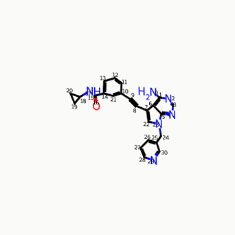 Nc1ncnc2c1c(C#Cc1cccc(C(=O)NC3CC3)c1)cn2Cc1cccnc1